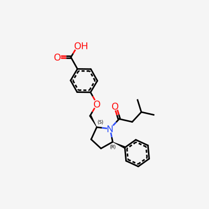 CC(C)CC(=O)N1[C@H](COc2ccc(C(=O)O)cc2)CC[C@@H]1c1ccccc1